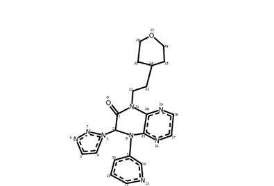 O=C1C(n2ccnn2)N(c2cccnc2)c2nccnc2N1CCC1CCOCC1